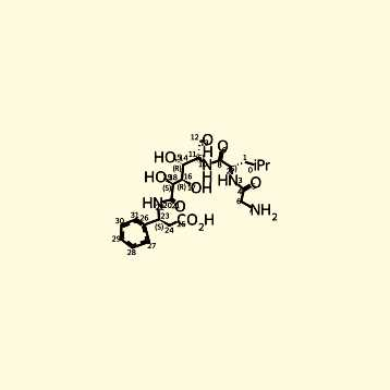 CC(C)C[C@H](NC(=O)CN)C(=O)N[C@@H](CO)[C@@H](O)[C@@H](O)[C@H](O)C(=O)N[C@@H](CC(=O)O)c1ccccc1